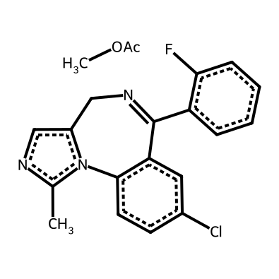 COC(C)=O.Cc1ncc2n1-c1ccc(Cl)cc1C(c1ccccc1F)=NC2